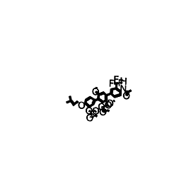 COc1cc(-c2ccc(NC(C)=O)c(C(F)(F)F)c2)c(OC)c(OS(C)(=O)=O)c1-c1ccc(OCC=C(C)C)c(OS(C)(=O)=O)c1